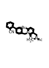 CCCCc1ccc(CN(C)C(C)=O)c(=O)n1Cc1ccc(-c2ccccc2C#N)cc1